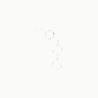 Nc1ccc(CN2CCN(C3CCCCC3)CC2)cn1